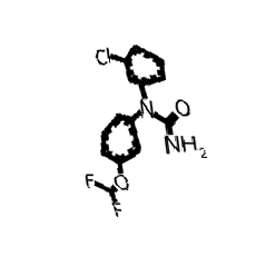 NC(=O)N(c1cccc(Cl)c1)c1cccc(OC(F)F)c1